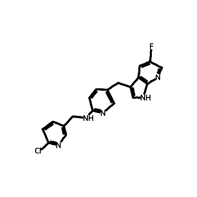 Fc1cnc2[nH]cc(Cc3ccc(NCc4ccc(Cl)nc4)nc3)c2c1